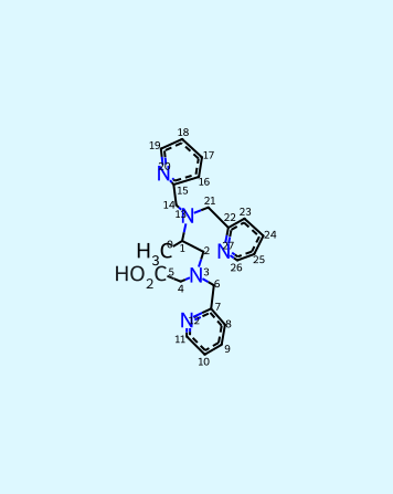 CC(CN(CC(=O)O)Cc1ccccn1)N(Cc1ccccn1)Cc1ccccn1